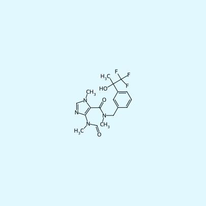 CN(Cc1cccc(C(C)(O)C(F)(F)F)c1)C(=O)c1c(N(C)C=O)ncn1C